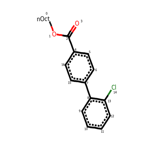 CCCCCCCCOC(=O)c1ccc(-c2ccccc2Cl)cc1